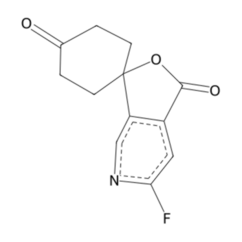 O=C1CCC2(CC1)OC(=O)c1cc(F)ncc12